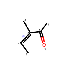 C/C=C(/C)C(C)=O